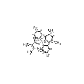 CC1=C(C)C(C)C([Si](c2ccc(F)cc2)(c2ccc(F)cc2)c2cc(C)cc(C)c2)=C1C